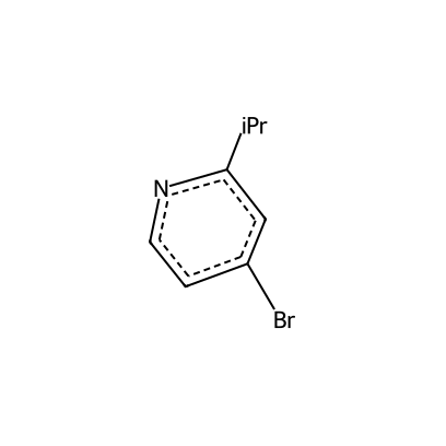 CC(C)c1cc(Br)ccn1